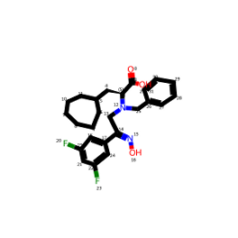 O=C(O)[C@H](CC1CCCCCC1)N(CC(=NO)c1cc(F)cc(F)c1)Cc1ccccc1